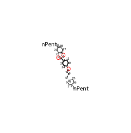 CCCCC[C@H]1CC[C@H](CCCOc2ccc(C(=O)O[C@H]3CC[C@H](CCCCC)CC3)cc2)CC1